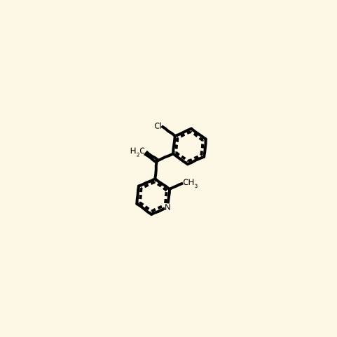 C=C(c1ccccc1Cl)c1cccnc1C